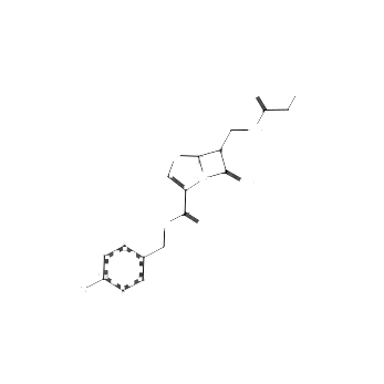 CC(=O)OCC(=O)OCC1C(=O)N2C(C(=O)OCc3ccc([N+](=O)[O-])cc3)=CS[C@@H]12